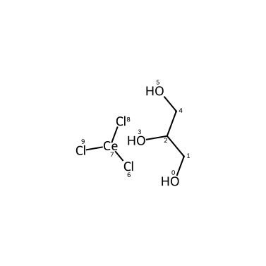 OCC(O)CO.[Cl][Ce]([Cl])[Cl]